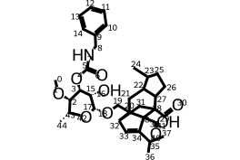 CO[C@H]1[C@@H](OC(=O)NCc2ccccc2)[C@H](O)[C@H](OCC23CC4C(C)CCC4C4(C=O)CC2C=C(C(C)C)C43C(=O)O)O[C@@H]1C